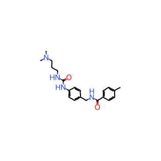 Cc1ccc(C(=O)NCc2ccc(NC(=O)NCCCN(C)C)cc2)cc1